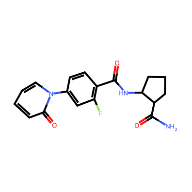 NC(=O)C1CCCC1NC(=O)c1ccc(-n2ccccc2=O)cc1F